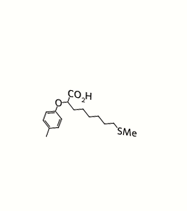 CSCCCCCCC(Oc1ccc(C)cc1)C(=O)O